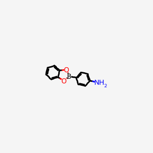 Nc1ccc(B2Oc3ccccc3O2)cc1